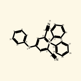 N#CC1=CC(Sc2ccccc2)=CC(C#N)=P1(c1ccccc1)c1ccccc1